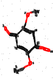 CC(C)OC1=CC(=O)C(OC(C)C)=CC1=O